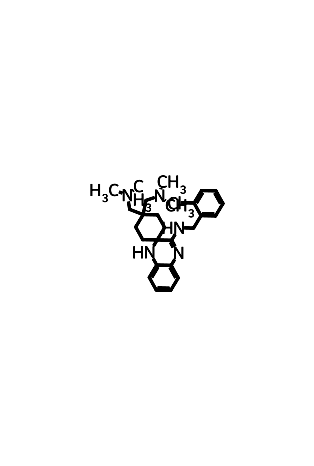 CN(C)CC1(CN(C)C)CCC2(CC1)Nc1ccccc1N=C2NCc1ccccc1Cl